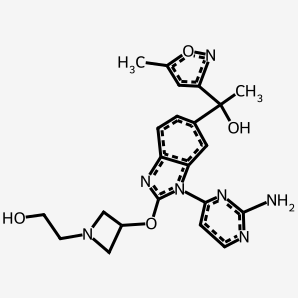 Cc1cc(C(C)(O)c2ccc3nc(OC4CN(CCO)C4)n(-c4ccnc(N)n4)c3c2)no1